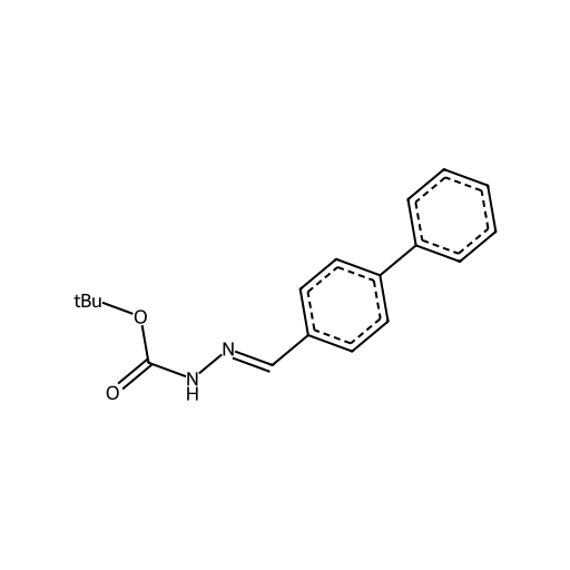 CC(C)(C)OC(=O)NN=Cc1ccc(-c2ccccc2)cc1